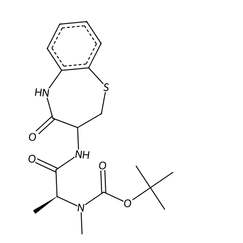 C[C@@H](C(=O)NC1CSc2ccccc2NC1=O)N(C)C(=O)OC(C)(C)C